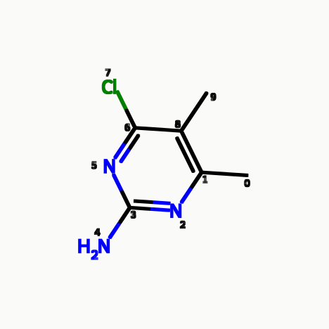 Cc1nc(N)nc(Cl)c1C